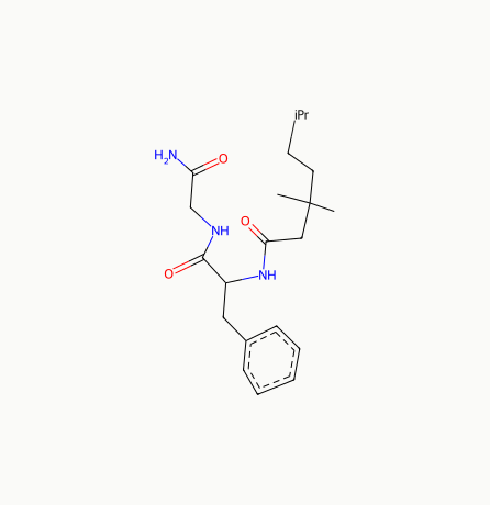 CC(C)CCC(C)(C)CC(=O)NC(Cc1ccccc1)C(=O)NCC(N)=O